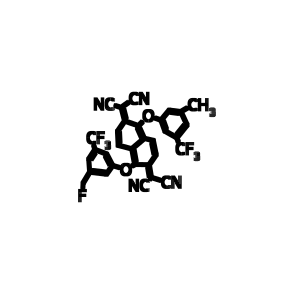 Cc1cc(Oc2c(=C(C#N)C#N)ccc3c(Oc4cc(CF)cc(C(F)(F)F)c4)c(=C(C#N)C#N)ccc23)cc(C(F)(F)F)c1